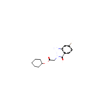 Nc1cc(Br)ccc1C(=O)NCC(=O)OC1CCCCC1